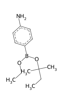 CCOB(OC(C)(C)CC)c1ccc(N)cc1